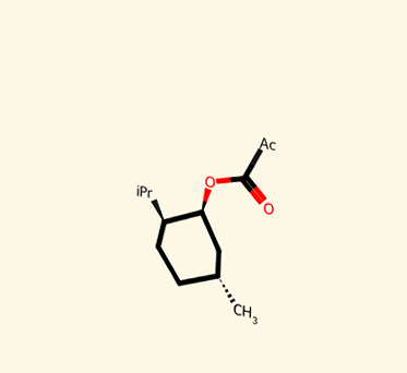 CC(=O)C(=O)O[C@H]1C[C@H](C)CC[C@H]1C(C)C